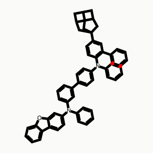 c1ccc(-c2cc(C34CC5CC6CC(C3)C65C4)ccc2N(c2ccccc2)c2ccc(-c3cccc(N(c4ccccc4)c4ccc5c(c4)oc4ccccc45)c3)cc2)cc1